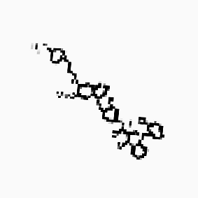 COc1cc2c(Oc3ccc(NC(=O)c4cn(-c5ccccc5Cl)c5ccccc5c4=O)cc3F)ccnc2cc1OCCCN1CCC(C)CC1